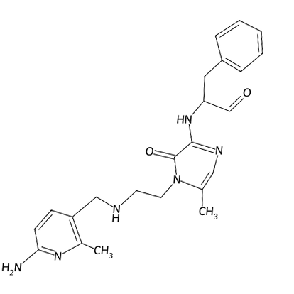 Cc1nc(N)ccc1CNCCn1c(C)cnc(NC(C=O)Cc2ccccc2)c1=O